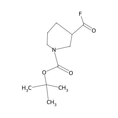 CC(C)(C)OC(=O)N1CCCC(C(=O)F)C1